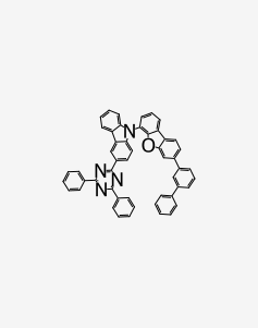 c1ccc(-c2cccc(-c3ccc4c(c3)oc3c(-n5c6ccccc6c6cc(-c7nc(-c8ccccc8)nc(-c8ccccc8)n7)ccc65)cccc34)c2)cc1